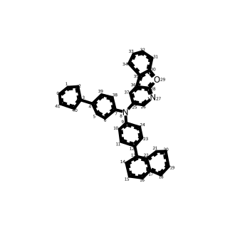 c1ccc(-c2ccc(N(c3ccc(-c4cccc5ccccc45)cc3)c3cnc4oc5ccccc5c4c3)cc2)cc1